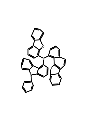 c1ccc(-n2c3ccccc3c3c(N(c4cccc5c4oc4ccccc45)c4cccc5ccc6c7ccccc7oc6c45)cccc32)cc1